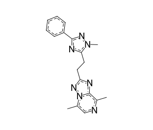 Cc1ncc(C)n2nc(CCc3nc(-c4ccccc4)nn3C)nc12